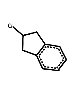 ClC1Cc2c[c]ccc2C1